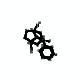 C[C@@H]1C[C@H]2CC[C@@H](C1)N2Cc1ccccc1